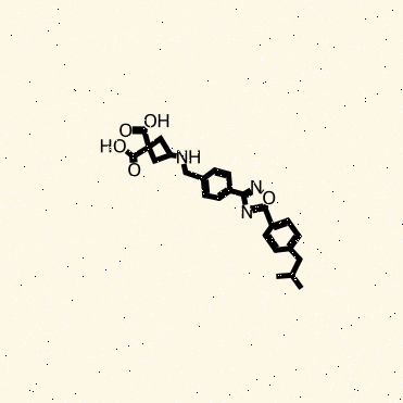 CC(C)Cc1ccc(-c2nc(-c3ccc(CNC4CC(C(=O)O)(C(=O)O)C4)cc3)no2)cc1